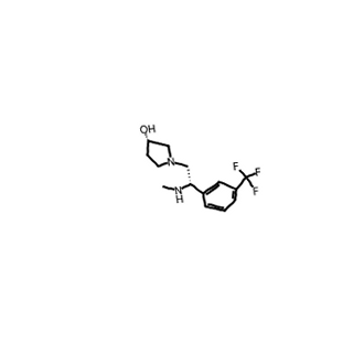 CN[C@H](CN1CC[C@H](O)C1)c1cccc(C(F)(F)F)c1